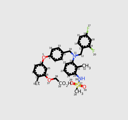 CCc1ccc(Oc2ccc(CN(Cc3ccc(F)cc3F)c3cccc(NS(C)(=O)=O)c3C)cc2)cc1OCC(=O)O